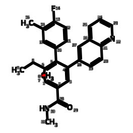 C\C=C(/C=C(\C(=C(/C)CC)c1ccc(F)c(C)c1)c1ccc2ncccc2c1)C(=O)NC